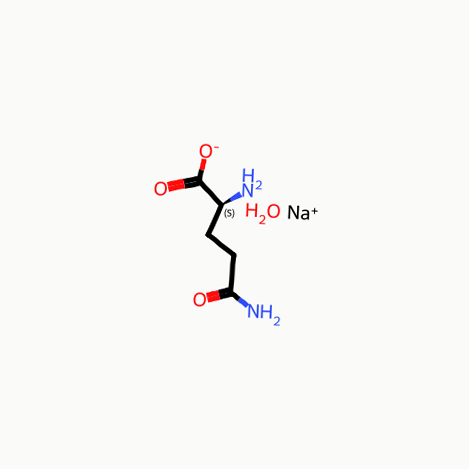 NC(=O)CC[C@H](N)C(=O)[O-].O.[Na+]